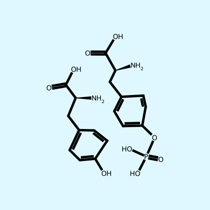 N[C@@H](Cc1ccc(O)cc1)C(=O)O.N[C@@H](Cc1ccc(OP(=O)(O)O)cc1)C(=O)O